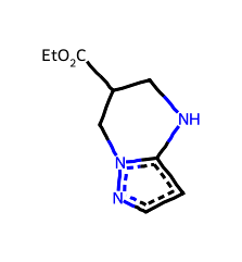 CCOC(=O)C1CNc2ccnn2C1